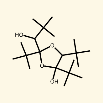 CC(C)(C)C1OC(C(O)C(C)(C)C)(C(C)(C)C)OC1(O)C(C)(C)C